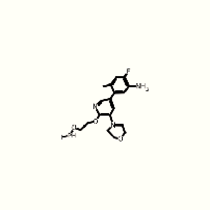 Cc1cc(F)c(N)cc1-c1cnc(OCCOPI)c(N2CCOCC2)c1